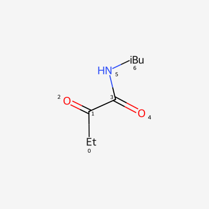 CCC(=O)C(=O)NC(C)CC